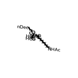 CCCCCCCCCCCCCC(=O)O[C@H](COC(=O)CCCCCCCCCCNC(C)=O)COP(=O)(O)O